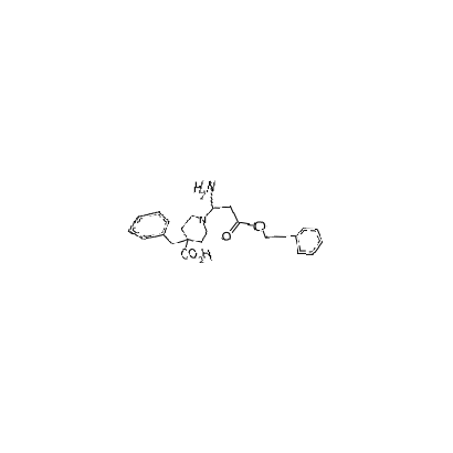 NC(CC(=O)OCc1ccccc1)N1CCC(Cc2ccccc2)(C(=O)O)CC1